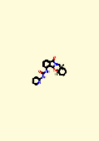 O=C(Nc1ccccn1)Nc1cccc2c1C1O[C@@H]3CCCC[C@@H]3CN1C2=O